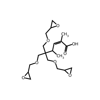 CC(=CC(C)C(COCC1CO1)(COCC1CO1)COCC1CO1)C(=O)O